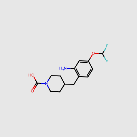 Nc1cc(OC(F)F)ccc1CC1CCN(C(=O)O)CC1